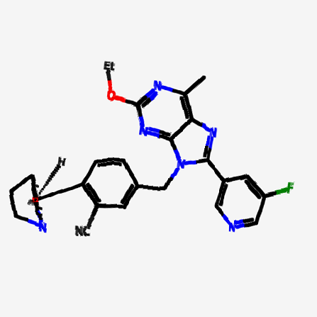 CCOc1nc(C)c2nc(-c3cncc(F)c3)n(Cc3ccc([C@@H]4CN5CCC4CC5)c(C#N)c3)c2n1